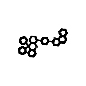 C1=C(c2ccc(-c3ccc4ccc5cccnc5c4n3)cc2)C2=C(CC1)C(c1ccccc1)(c1ccccc1)c1ccccc1O2